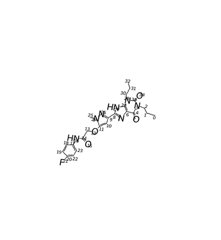 CCCn1c(=O)c2nc(-c3cc(OCC(=O)Nc4ccc(F)cc4)n(C)n3)[nH]c2n(CCC)c1=O